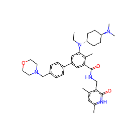 CCN(c1cc(-c2ccc(CN3CCOCC3)cc2)cc(C(=O)NCc2c(C)cc(C)[nH]c2=O)c1C)[C@H]1CC[C@H](N(C)C)CC1